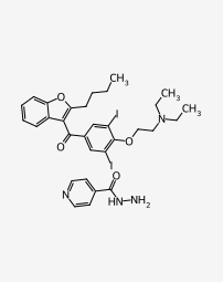 CCCCc1oc2ccccc2c1C(=O)c1cc(I)c(OCCN(CC)CC)c(I)c1.NNC(=O)c1ccncc1